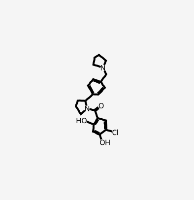 O=C(c1cc(Cl)c(O)cc1O)N1CCCC1c1ccc(CN2CCCC2)cc1